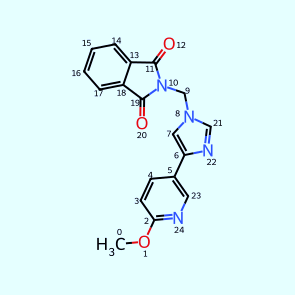 COc1ccc(-c2cn(CN3C(=O)c4ccccc4C3=O)cn2)cn1